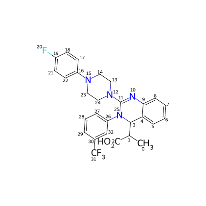 CC(C(=O)O)C1c2ccccc2N=C(N2CCN(c3ccc(F)cc3)CC2)N1c1cccc(C(F)(F)F)c1